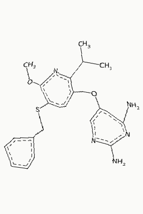 COc1nc(C(C)C)c(Oc2cnc(N)nc2N)cc1SCc1ccccc1